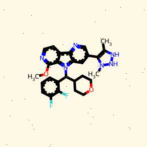 COc1nccc2c3ncc(C4=C(C)NNN4C)cc3n(C(c3cccc(F)c3F)C3CCOCC3)c12